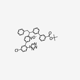 CC(C)(C)OC(=O)c1cccc(-c2cccc(C(Cc3ccccc3)c3ccc(-c4cc(Cl)ccc4-n4cnnn4)c[n+]3[O-])c2)c1